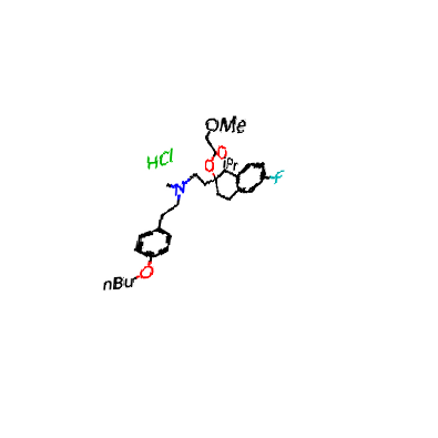 CCCCOc1ccc(CCN(C)CC[C@]2(OC(=O)COC)CCc3cc(F)ccc3[C@H]2C(C)C)cc1.Cl